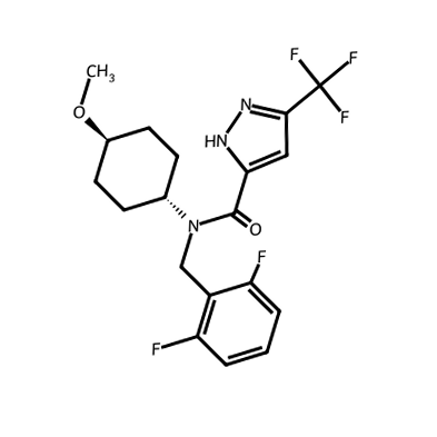 CO[C@H]1CC[C@H](N(Cc2c(F)cccc2F)C(=O)c2cc(C(F)(F)F)n[nH]2)CC1